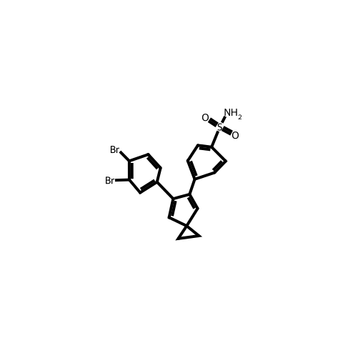 NS(=O)(=O)c1ccc(C2=CC3(C=C2c2ccc(Br)c(Br)c2)CC3)cc1